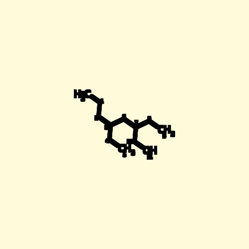 CCCC(CC)CC(CC)CO